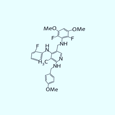 COc1ccc(CNc2ncc(CNc3c(F)c(OC)cc(OC)c3F)c(Nc3ccccc3F)c2C)cc1